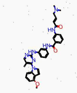 COc1cccc2c1ccn2-c1nc(Nc2cccc(NC(=O)c3cccc(NC(=O)C=CCN(C)C)c3)c2)ncc1C